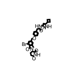 O=C1CCC(N2Cc3cc(COc4ccc(CC(=O)Nc5cc(C6CCC6)[nH]n5)cc4)cc(Br)c3C2=O)C(=O)N1